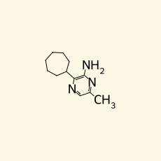 Cc1cnc(C2CCCCCC2)c(N)n1